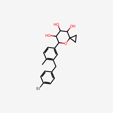 CCc1ccc(Cc2cc(C3OC4(CC4)C(O)C(O)C3O)ccc2C)cc1